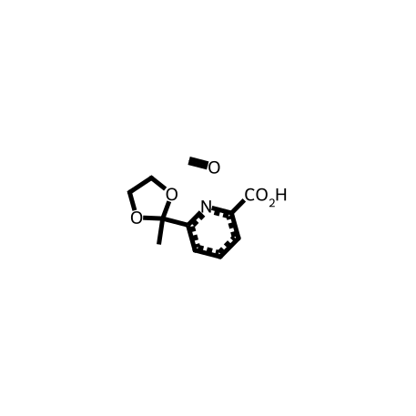 C=O.CC1(c2cccc(C(=O)O)n2)OCCO1